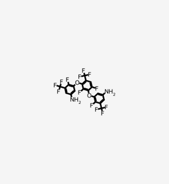 Nc1cc(Oc2c(F)cc(C(F)(F)F)c(Oc3cc(N)cc(C(F)(F)F)c3F)c2F)c(F)c(C(F)(F)F)c1